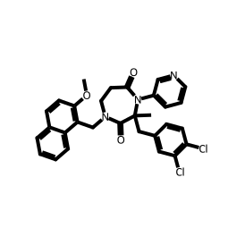 COc1ccc2ccccc2c1CN1CCC(=O)N(c2cccnc2)C(C)(Cc2ccc(Cl)c(Cl)c2)C1=O